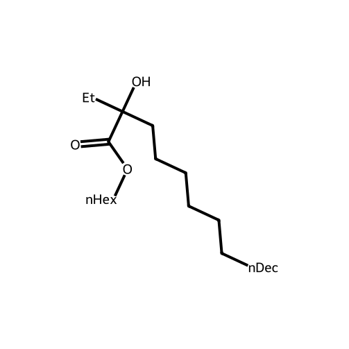 CCCCCCCCCCCCCCCCC(O)(CC)C(=O)OCCCCCC